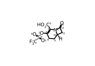 O=C(O)C1=C(OS(=O)(=O)C(F)(F)F)CC[C@H]2CC(=O)N12